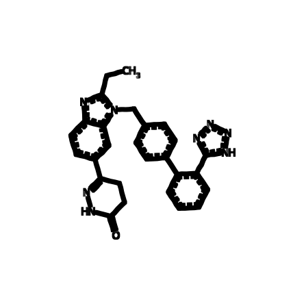 CCc1nc2ccc(C3=NNC(=O)CC3)cc2n1Cc1ccc(-c2ccccc2-c2nnn[nH]2)cc1